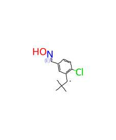 CC(C)(C)[CH]c1cc(/C=N/O)ccc1Cl